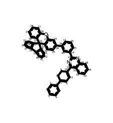 C1=C(c2ccccc2)CCC(c2nc(-c3cccc(-c4ccc5c(c4)Oc4ccccc4C54c5ccccc5-c5ccccc54)c3)nc3ccccc23)=C1